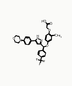 Cc1cc(OC(c2ccc(C(F)(F)F)cc2)c2cc(-c3ccc(N4CCOCC4)cc3)[nH]n2)ccc1OCC(=O)O